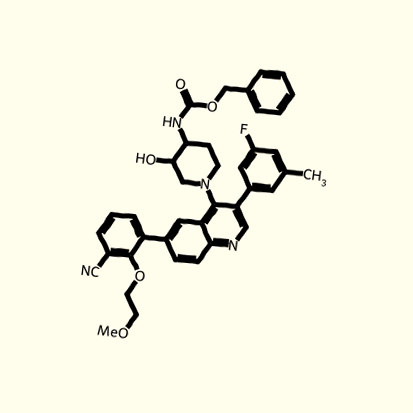 COCCOc1c(C#N)cccc1-c1ccc2ncc(-c3cc(C)cc(F)c3)c(N3CCC(NC(=O)OCc4ccccc4)C(O)C3)c2c1